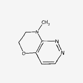 CN1CCOc2ccnnc21